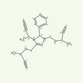 CC(C#N)OCC1=CN(COC(C)C#N)C(c2ccccc2)N1C(C)C#N